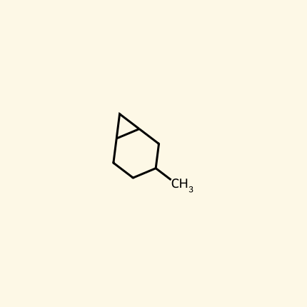 CC1CCC2CC2C1